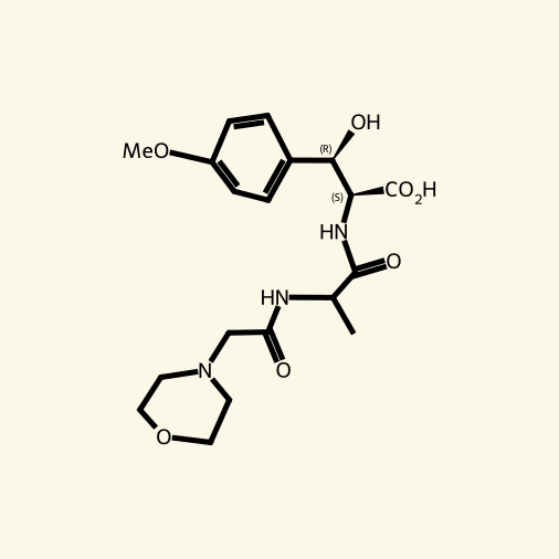 COc1ccc([C@@H](O)[C@H](NC(=O)C(C)NC(=O)CN2CCOCC2)C(=O)O)cc1